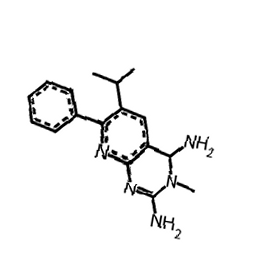 CC(C)c1cc2c(nc1-c1ccccc1)N=C(N)N(C)C2N